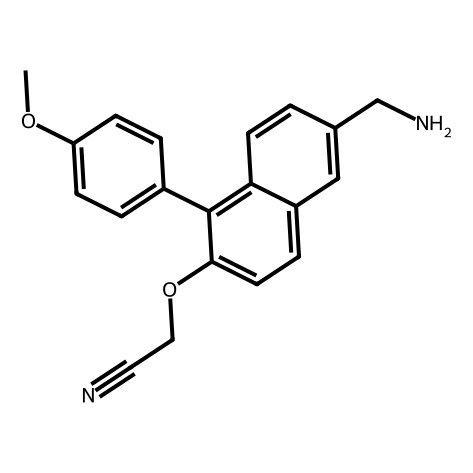 COc1ccc(-c2c(OCC#N)ccc3cc(CN)ccc23)cc1